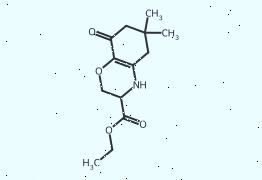 CCOC(=O)C1COC2=C(CC(C)(C)CC2=O)N1